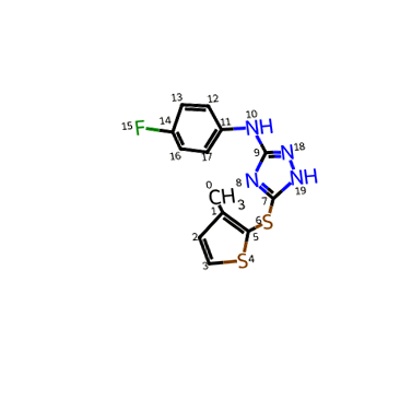 Cc1ccsc1Sc1nc(Nc2ccc(F)cc2)n[nH]1